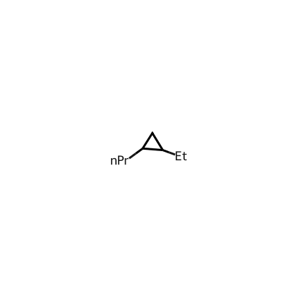 [CH2]CC1CC1CCC